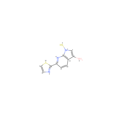 Bc1cn(S)c2nc(-c3nccs3)ccc12